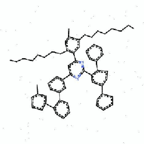 CCCCCCCCc1cc(-c2cc(-c3cccc(-c4ccccc4-c4cccc(C)c4)c3)nc(-c3cc(-c4ccccc4)ccc3-c3ccccc3)n2)c(CCCCCCCC)cc1C